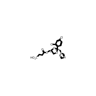 O=C(O)CCC(=O)OC[C@H]1CO[C@@](Cn2cncn2)(c2ccc(Cl)cc2Cl)O1